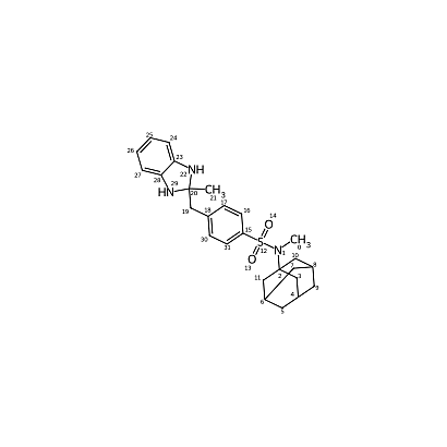 CN(C12CC3CC(CC(C3)C1)C2)S(=O)(=O)c1ccc(CC2(C)Nc3ccccc3N2)cc1